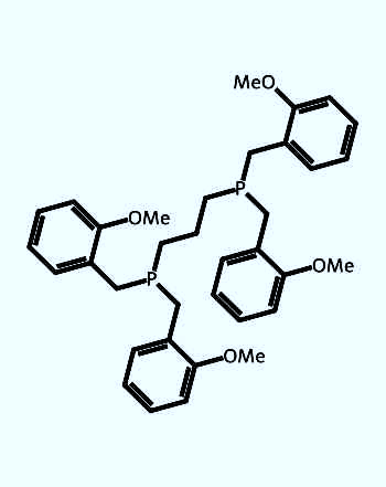 COc1ccccc1CP(CCCP(Cc1ccccc1OC)Cc1ccccc1OC)Cc1ccccc1OC